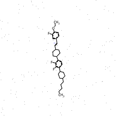 CCCCCC1CCC(c2ccc(C3CCC(/C=C/c4ccc(OCC)c(F)c4)CC3)c(F)c2F)CC1